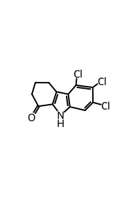 O=C1CCCc2c1[nH]c1cc(Cl)c(Cl)c(Cl)c21